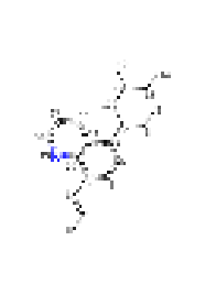 C/C=C/c1ccc(C(CC)CC(C)CC)c2cccnc12